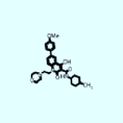 COc1ccc(-c2ccc3c(c2)c(O)c(C(=O)NC2CCC(C)CC2)c(=O)n3CCN2CCOCC2)cc1